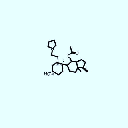 C=C1CCC2C(OC(C)=O)C([C@@]3(C)CC[C@H](O)C[C@@H]3CCN3CCCC3)CCC12C